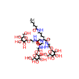 CC(=O)CCCCC(=O)NCCCC[C@@H](C(=O)NCCO[C@H]1O[C@H](CO)[C@@H](O)[C@H](O)[C@@H]1O)N(CC(=O)NCCO[C@H]1O[C@H](CO)[C@@H](O)[C@H](O)[C@@H]1O)CC(=O)NCCO[C@H]1O[C@H](CO)[C@@H](O)[C@H](O)[C@@H]1O